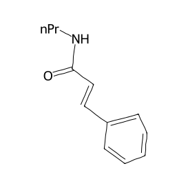 CCCNC(=O)C=Cc1ccccc1